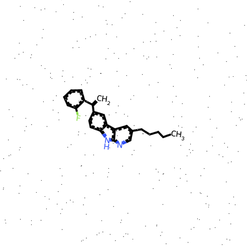 C=C(c1ccc2[nH]c3ncc(CCCCC)cc3c2c1)c1ccccc1F